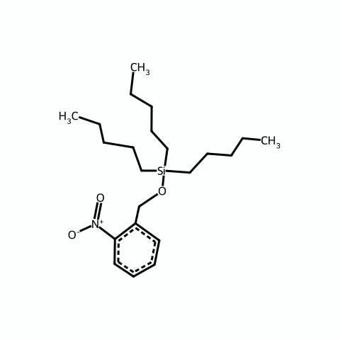 CCCCC[Si](CCCCC)(CCCCC)OCc1ccccc1[N+](=O)[O-]